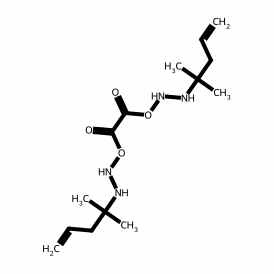 C=CCC(C)(C)NNOC(=O)C(=O)ONNC(C)(C)CC=C